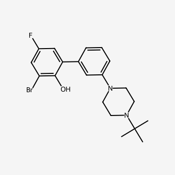 CC(C)(C)N1CCN(c2cccc(-c3cc(F)cc(Br)c3O)c2)CC1